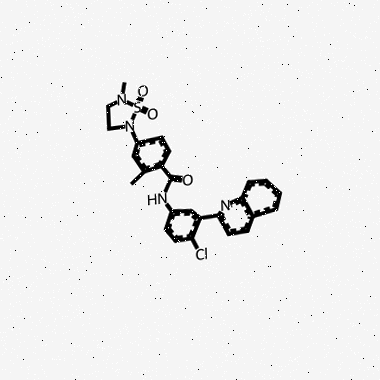 Cc1cc(N2CCN(C)S2(=O)=O)ccc1C(=O)Nc1ccc(Cl)c(-c2ccc3ccccc3n2)c1